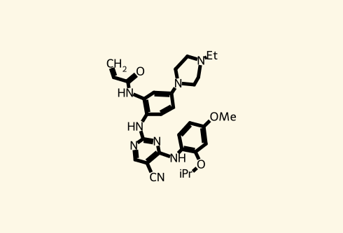 C=CC(=O)Nc1cc(N2CCN(CC)CC2)ccc1Nc1ncc(C#N)c(Nc2ccc(OC)cc2OC(C)C)n1